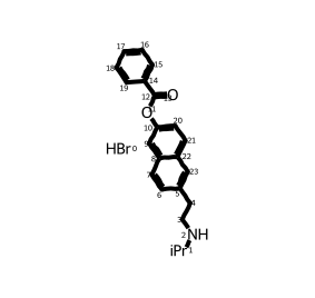 Br.CC(C)NCCc1ccc2cc(OC(=O)c3ccccc3)ccc2c1